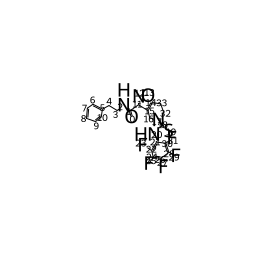 O=C(NCCc1ccccc1)c1noc2c1CN(C(=S)Nc1c(F)c(F)c(F)c(F)c1F)CC2